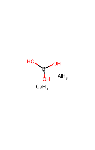 OB(O)O.[AlH3].[GaH3]